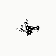 CC(C)(C)OC(=O)NCc1cc(C(N)(Cc2ccccc2)c2cc(F)cc(OC(F)(F)C(F)F)c2)ccc1F